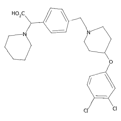 O=C(O)C(c1ccc(CN2CCC(Oc3ccc(Cl)c(Cl)c3)CC2)cc1)N1CCCCC1